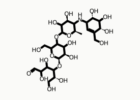 C[C@H]1OC(OC2C(CO)O[C@H](OC(C(O)C(O)C=O)[C@H](O)CO)[C@H](O)C2O)C(O)[C@@H](O)C1NC1C=C(CO)[C@@H](O)C(O)[C@H]1O